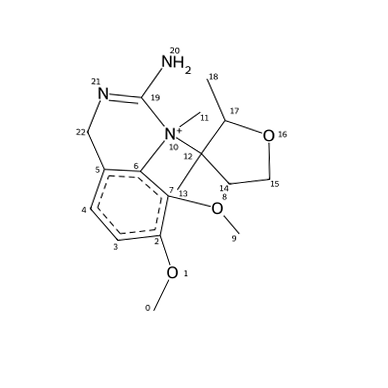 COc1ccc2c(c1OC)[N+](C)(C1(C)CCOC1C)C(N)=NC2